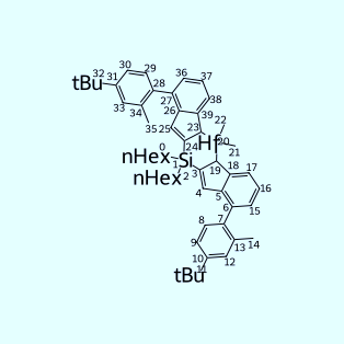 CCCCCC[Si]1(CCCCCC)C2=Cc3c(-c4ccc(C(C)(C)C)cc4C)cccc3[CH]2[Hf]([CH3])([CH3])[CH]2C1=Cc1c(-c3ccc(C(C)(C)C)cc3C)cccc12